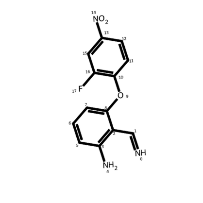 N=Cc1c(N)cccc1Oc1ccc([N+](=O)[O-])cc1F